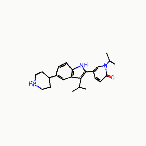 CC(C)c1c(-c2ccc(=O)n(C(C)C)c2)[nH]c2ccc(C3CCNCC3)cc12